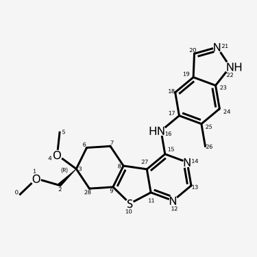 COC[C@@]1(OC)CCc2c(sc3ncnc(Nc4cc5cn[nH]c5cc4C)c23)C1